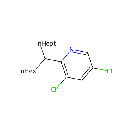 CCCCCCCC(CCCCCC)c1ncc(Cl)cc1Cl